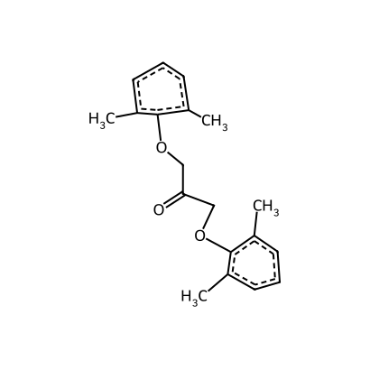 Cc1cccc(C)c1OCC(=O)COc1c(C)cccc1C